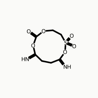 N=C1CCC(=N)OS(=O)(=O)CCOC(=O)O1